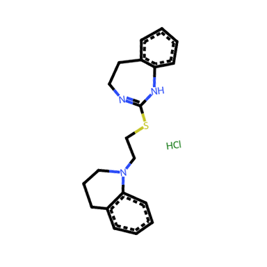 Cl.c1ccc2c(c1)CCN=C(SCCN1CCCc3ccccc31)N2